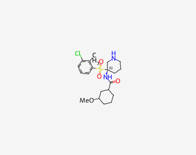 COC1CCCC(C(=O)N[C@]2(S(=O)(=O)c3cccc(Cl)c3C)CCCNC2)C1